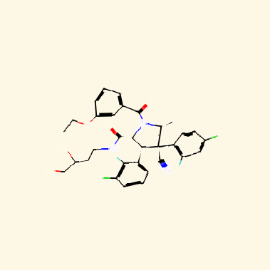 CCOc1cccc(C(=O)N2[C@@H](C)[C@](C#N)(c3ccc(Cl)cc3F)[C@@H](c3cccc(Cl)c3F)[C@@H]2C(=O)NCCC(O)CO)c1